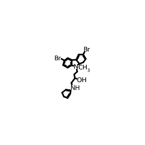 CC12CC=C(Br)C=C1c1cc(Br)ccc1N2CCC(O)CNC1=CCCC=C1